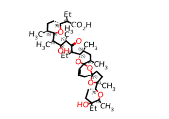 CC[C@@H](C(=O)[C@@H](C)[C@@H](O)[C@H](C)[C@@H]1O[C@@H]([C@@H](CC)C(=O)O)CC[C@@H]1C)[C@H]1OC2(C=CC[C@]3(CC[C@@](C)([C@H]4CC[C@](O)(CC)[C@H](C)O4)O3)O2)[C@H](C)C[C@@H]1C